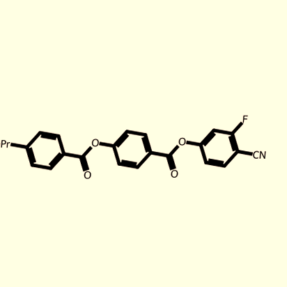 CCCc1ccc(C(=O)Oc2ccc(C(=O)Oc3ccc(C#N)c(F)c3)cc2)cc1